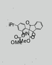 COC(=O)NC1(c2ccc(C(C)C)cc2OC(=O)OC)C(=O)c2ccccc2C1=O